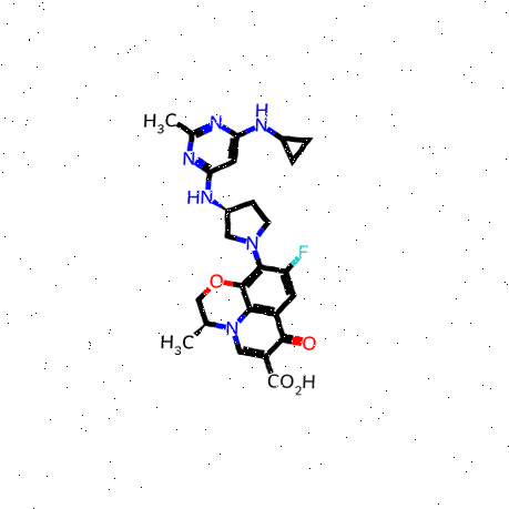 Cc1nc(NC2CC2)cc(N[C@H]2CCN(c3c(F)cc4c(=O)c(C(=O)O)cn5c4c3OC[C@@H]5C)C2)n1